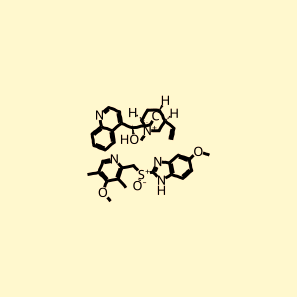 C=C[C@H]1C[N+]2(C)CC[C@H]1C[C@@H]2[C@@H](O)c1ccnc2ccccc12.COc1ccc2[nH]c([S+]([O-])Cc3ncc(C)c(OC)c3C)nc2c1